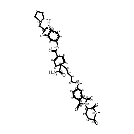 C[C@H]1CCCN1Cc1nc2cc(NC(=O)C3=CCC(CCCCNc4ccc5c(c4)C(=O)N(C4CCC(=O)NC4=O)C5=O)(C(N)=O)C=C3)ccc2[nH]1